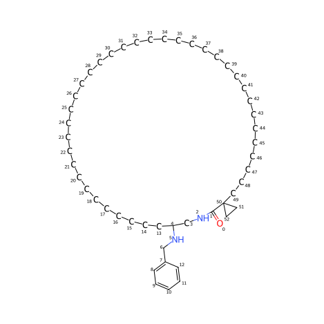 O=C1NCC(NCc2ccccc2)CCCCCCCCCCCCCCCCCCCCCCCCCCCCCCCCCCCCCC12CC2